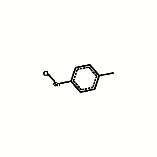 Cc1cc[c]([Sn][Cl])cc1